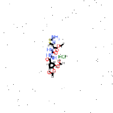 CCOC(=O)C(NC(=O)NNC(=O)c1ccc(OC(C)=O)c(OC(C)=O)c1)c1csc(N)n1.Cl